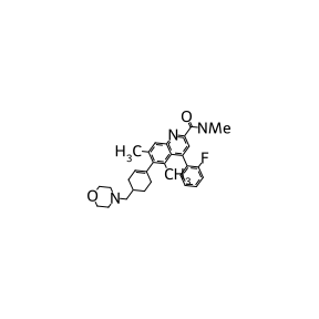 CNC(=O)c1cc(-c2ccccc2F)c2c(C)c(C3=CCC(CN4CCOCC4)CC3)c(C)cc2n1